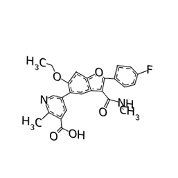 CCOc1cc2oc(-c3ccc(F)cc3)c(C(=O)NC)c2cc1-c1cnc(C)c(C(=O)O)c1